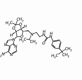 CC(C)N(CCNC(=O)Nc1ccc(C(C)(C)C)cc1)C[C@H]1O[C@@H](n2cnc3c(N)ncnc32)[C@@H]2OC(C)(C)O[C@@H]21